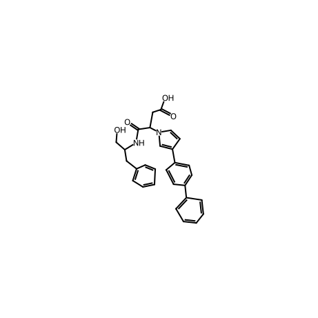 O=C(O)CC(C(=O)NC(CO)Cc1ccccc1)n1ccc(-c2ccc(-c3ccccc3)cc2)c1